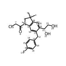 CC1(C)CN(C(=O)CCl)c2cc(Cc3ccc(F)cc3)c([C@@H](O)CO)nc21